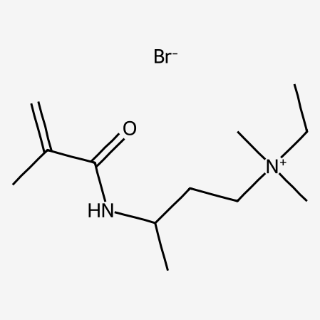 C=C(C)C(=O)NC(C)CC[N+](C)(C)CC.[Br-]